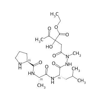 CCOC(=O)C(O)(CC(=O)N(C)NC(=O)[C@H](CC(C)C)NC(=O)[C@H](C)NC(=O)[C@@H]1CCCN1)C(C)=O